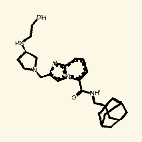 O=C(NCC12CC3CC(CC(C3)C1)C2)c1cccc2nc(CN3CC[C@@H](NCCO)C3)cn12